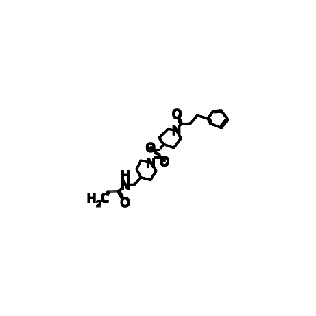 C=CC(=O)NCC1CCN(S(=O)(=O)C2CCN(C(=O)CCc3ccccc3)CC2)CC1